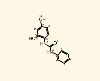 O=C(Nc1ccccc1)Nc1ccc(O)cc1O